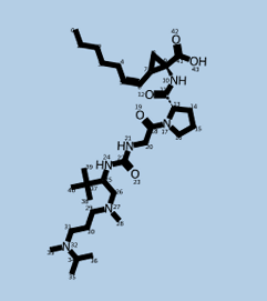 CCCCC/C=C\C1C[C@]1(NC(=O)[C@@H]1CCCN1C(=O)CNC(=O)NC(CN(C)CCCN(C)C(C)C)C(C)(C)C)C(=O)O